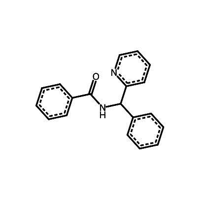 O=C(NC(c1ccccc1)c1ccccn1)c1ccccc1